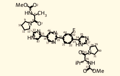 COC(=O)N[C@@H](C)C(=O)N1CCC[C@H]1c1nc(-c2cnc(-c3ccc(-c4cnc([C@@H]5CCCN5C(=O)[C@@H](NC(=O)OC)C(C)C)[nH]4)c(F)c3)nc2)c[nH]1